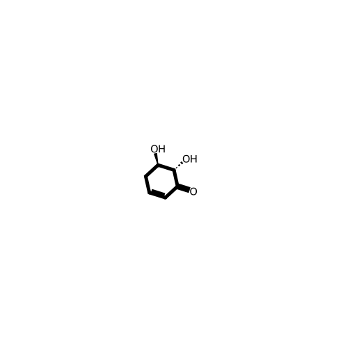 O=C1C=CC[C@@H](O)[C@@H]1O